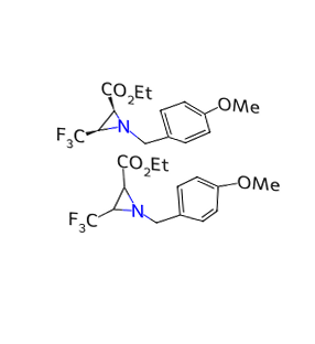 CCOC(=O)C1C(C(F)(F)F)N1Cc1ccc(OC)cc1.CCOC(=O)[C@@H]1[C@H](C(F)(F)F)N1Cc1ccc(OC)cc1